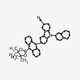 CC1(C)OB(c2c3ccccc3c(-c3ccc4c(c3)c3cc(C#N)ccc3n4-c3ccc4ccccc4c3)c3ccccc23)OC1(C)C